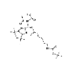 CC(C)(C)OC(=O)NCCCCCC(=O)N=C(N(C(=O)O)C(=O)O)n1cc(C(C)(C)C)c(C(C)(C)C)n1